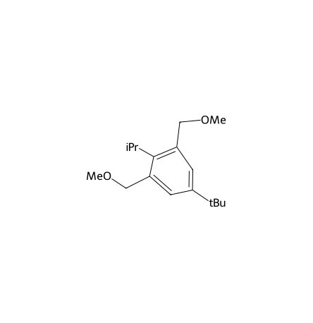 COCc1cc(C(C)(C)C)cc(COC)c1C(C)C